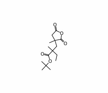 CCC(C)(CC1(C)CC(=O)OC1=O)C(=O)OC(C)(C)C